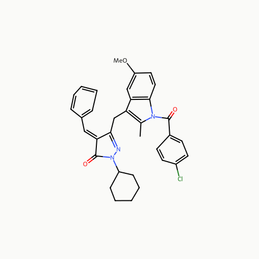 COc1ccc2c(c1)c(CC1=NN(C3CCCCC3)C(=O)/C1=C/c1ccccc1)c(C)n2C(=O)c1ccc(Cl)cc1